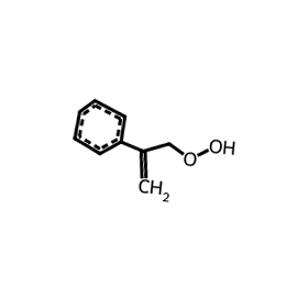 C=C(COO)c1ccccc1